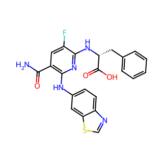 NC(=O)c1cc(F)c(N[C@H](Cc2ccccc2)C(=O)O)nc1Nc1ccc2ncsc2c1